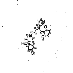 COC1C=CC=C2Oc3ncccc3C(=CCCN3CCC(O)(c4ccc(Br)cc4)CC3)C=C21